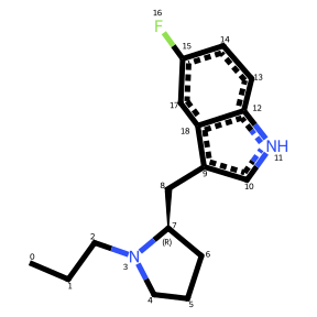 CCCN1CCC[C@@H]1Cc1c[nH]c2ccc(F)cc12